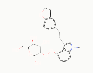 Cn1cc(CCc2ccc3c(c2)CCO3)c2c(OO[C@@H]3[C@@H](O)[C@H](O)[C@@H](CO)O[C@H]3O)cccc21